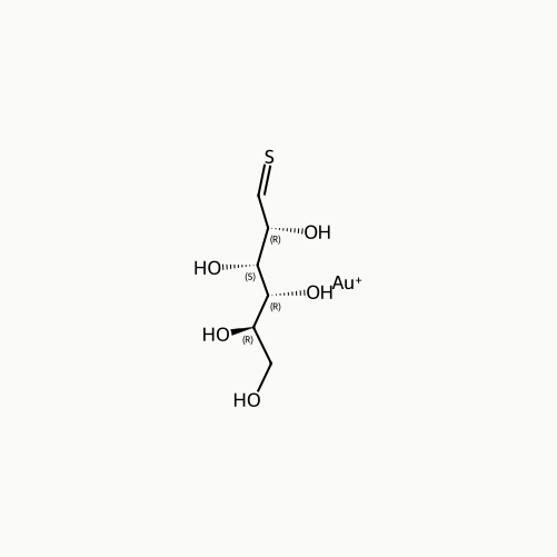 OC[C@@H](O)[C@@H](O)[C@H](O)[C@@H](O)C=S.[Au+]